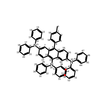 Cc1ccc(-c2c3cc(N(c4ccccc4)c4ccccc4)ccc3c(N(c3ccccc3)c3ccccc3)c3cc(N(c4ccccc4)c4ccccc4)ccc23)cc1